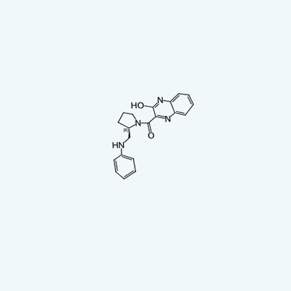 O=C(c1nc2ccccc2nc1O)N1CCC[C@@H]1CNc1ccccc1